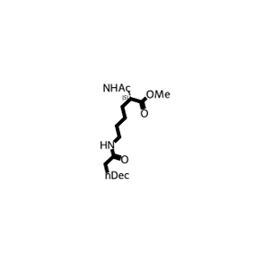 CCCCCCCCCCCC(=O)NCCCC[C@H](NC(C)=O)C(=O)OC